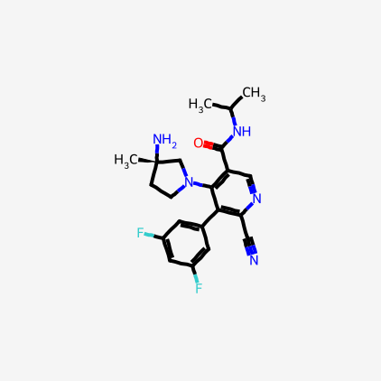 CC(C)NC(=O)c1cnc(C#N)c(-c2cc(F)cc(F)c2)c1N1CC[C@](C)(N)C1